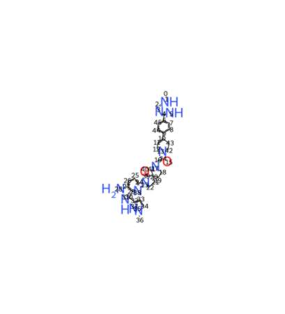 CN/C=N\C(=N)c1ccc(C2=CCN(C(=O)CN3CC[C@]4(CCN(c5ccc(N)c(C(=N)c6ccn(C)n6)n5)C4=O)C3)CC2)cc1